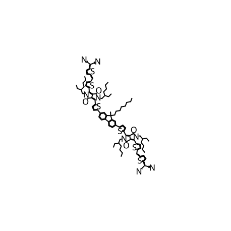 CCCCCCCCC1(C)c2cc(-c3ccc(C4=C5C(=O)N(CC(CC)CCCC)C(c6ccc(/C=c7\ccc(=C(C#N)C#N)s7)s6)=C5C(=O)N4CC(CC)CCCC)s3)ccc2-c2ccc(-c3ccc(C4=C5C(=O)N(CC(CC)CCCC)C(c6ccc(/C=c7\ccc(=C(C#N)C#N)s7)s6)=C5C(=O)N4CC(CC)CCCC)s3)cc21